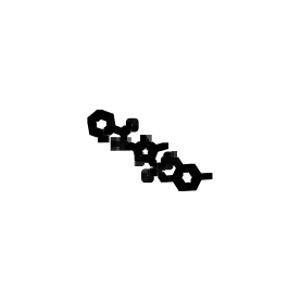 Cc1ccc(CS(=O)(=O)c2sc(NC(=O)c3ccccn3)nc2C)c(Cl)c1